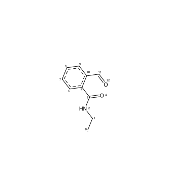 [CH2]CNC(=O)c1ccccc1C=O